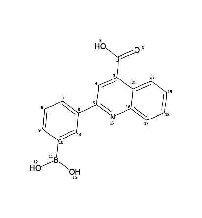 O=C(O)c1cc(-c2cccc(B(O)O)c2)nc2ccccc12